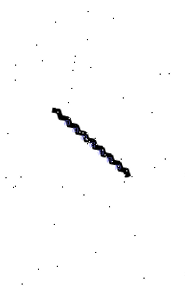 [CH]=C/C=C/C=C/C=C/C=C/C=C/C=C/C=C/CCC